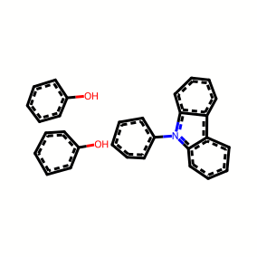 Oc1ccccc1.Oc1ccccc1.c1ccc(-n2c3ccccc3c3ccccc32)cc1